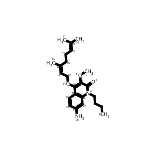 CCCCn1c(=O)c(OC)c(OCC=C(C)CCC=C(C)C)c2ccc(N)cc21